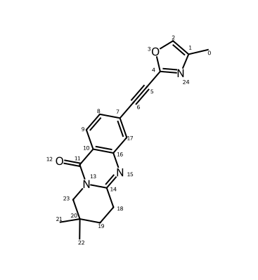 Cc1coc(C#Cc2ccc3c(=O)n4c(nc3c2)CCC(C)(C)C4)n1